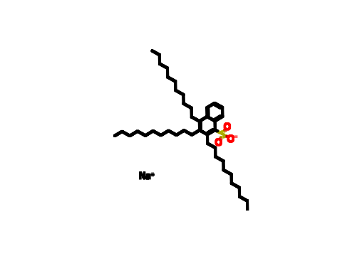 CCCCCCCCCCCc1c(CCCCCCCCCCC)c(S(=O)(=O)[O-])c2ccccc2c1CCCCCCCCCCC.[Na+]